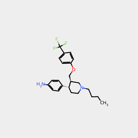 CCCCN1CC[C@H](c2ccc(N)cc2)[C@@H](COc2ccc(C(F)(F)F)cc2)C1